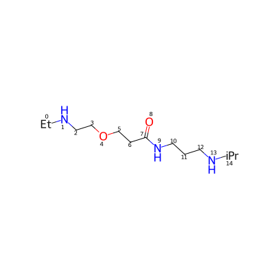 CCNCCOCCC(=O)NCCCNC(C)C